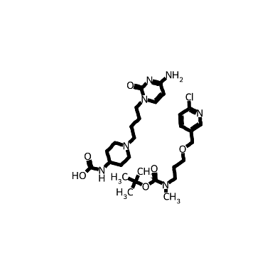 CN(CCCOCc1ccc(Cl)nc1)C(=O)OC(C)(C)C.Nc1ccn(CCCCN2CCC(NC(=O)O)CC2)c(=O)n1